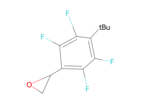 CC(C)(C)c1c(F)c(F)c(C2CO2)c(F)c1F